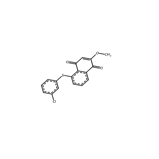 COC1=CC(=O)c2c(Sc3cccc(Cl)c3)cccc2C1=O